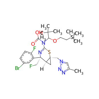 Cc1cn(C[C@]23C[C@H]2[C@@](CF)(c2cc(Br)ccc2F)N=C(N(C(=O)O)C(OCC[Si](C)(C)C)C(C)(C)C)S3)nn1